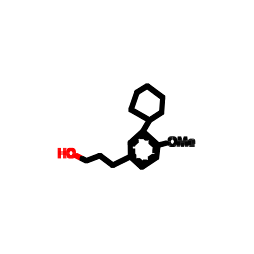 COc1ccc(CCCO)cc1C1CCCCC1